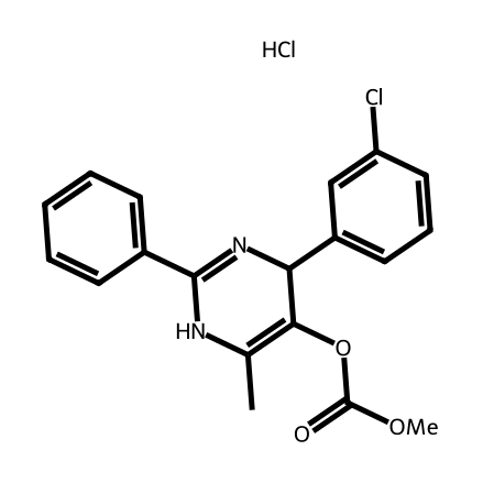 COC(=O)OC1=C(C)NC(c2ccccc2)=NC1c1cccc(Cl)c1.Cl